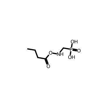 CCCC(=O)ONCP(=O)(O)O